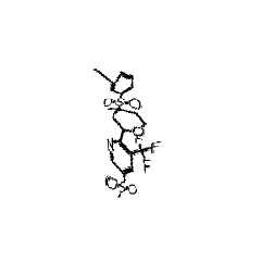 Cc1cccc(S(=O)(=O)C2(C)CCOC(c3ncc(S(C)(=O)=O)cc3C(F)(F)F)C2)c1